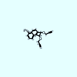 C#CCOC1c2ccc3c(C(C)C)cccc3c2C1OCC#C